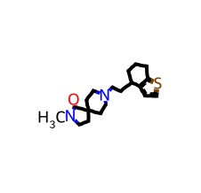 CN1CCC2(CCN(CCC3CCCc4sccc43)CC2)C1=O